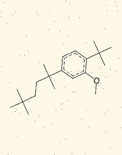 COc1cc(C(C)(C)CCC(C)(C)C)ccc1C(C)(C)C